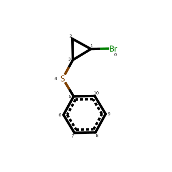 BrC1CC1Sc1ccccc1